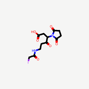 O=C(O)CC(C(=O)CCNC(=O)CI)N1C(=O)CCC1=O